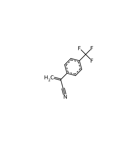 C=C(C#N)c1ccc(C(F)(F)F)cc1